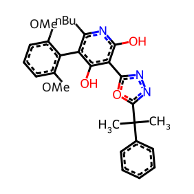 CCCCc1nc(O)c(-c2nnc(C(C)(C)c3ccccc3)o2)c(O)c1-c1c(OC)cccc1OC